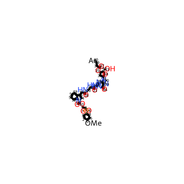 COc1ccc(S(=O)(=O)CCOC(=O)n2cc(CC(=O)NCCC(=O)Nc3nc4c(ncn4[C@H]4C[C@@H](OC(=O)CCC(C)=O)[C@@H](CO)O4)c(=O)[nH]3)c3ccccc32)cc1